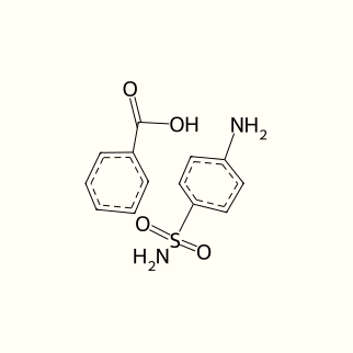 Nc1ccc(S(N)(=O)=O)cc1.O=C(O)c1ccccc1